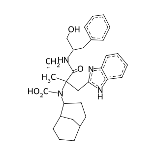 CC(Cc1nc2ccccc2[nH]1)(C(=O)NC(CO)Cc1ccccc1)N(C(=O)O)C1CCC2CCCC1C2.[CH2]